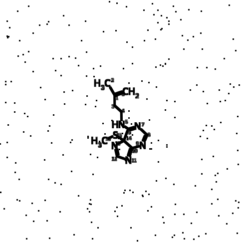 C=C(C)CCNC1=NC=NC2=NC=NC21SC